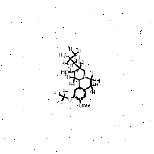 [2H]C([2H])([2H])Oc1cc2c(cc1OC)C([2H])([2H])C([2H])([2H])N1CC([2H])(C([2H])([2H])C([2H])(C)C([2H])([2H])[2H])C([2H])(O)C([2H])([2H])C21